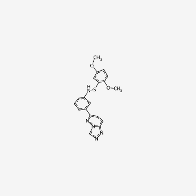 COc1ccc(OC)c(SNc2cccc(-c3ccc4nncn4n3)c2)c1